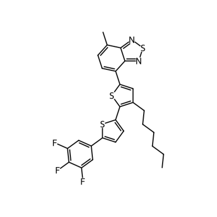 CCCCCCc1cc(-c2ccc(C)c3nsnc23)sc1-c1ccc(-c2cc(F)c(F)c(F)c2)s1